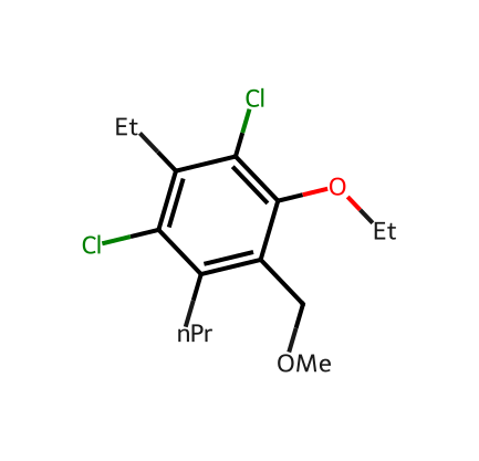 CCCc1c(Cl)c(CC)c(Cl)c(OCC)c1COC